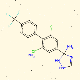 N.NC1(c2cc(Cl)c(-c3ccc(C(F)(F)F)cc3)c(Cl)c2)N=CNN1